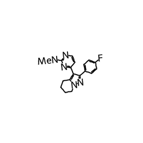 CNc1nccc(-c2c(-c3ccc(F)cc3)nn3c2CCCC3)n1